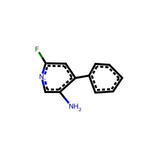 Nc1cnc(F)cc1-c1ccccc1